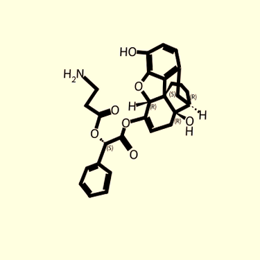 NCCC(=O)O[C@H](C(=O)OC1=CC[C@@]2(O)[C@@H]3CCC[C@@]24c2c(ccc(O)c2O[C@@H]14)C3)c1ccccc1